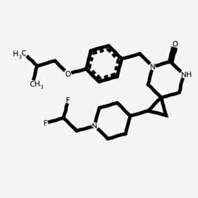 CC(C)COc1ccc(CN2CC3(CNC2=O)CC3C2CCN(CC(F)F)CC2)cc1